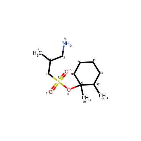 CC(CN)CS(=O)(=O)OC1(C)CCCCC1C